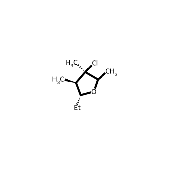 CC[C@H]1OC(C)[C@](C)(Cl)[C@@H]1C